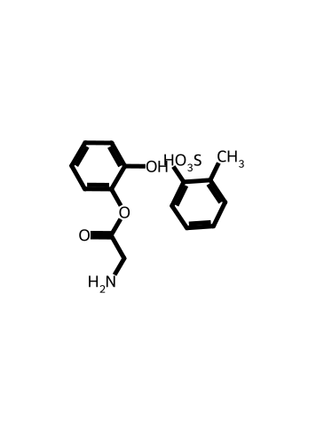 Cc1ccccc1S(=O)(=O)O.NCC(=O)Oc1ccccc1O